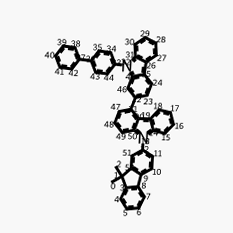 CC1(C)c2ccccc2-c2ccc(-n3c4ccccc4c4c(-c5ccc6c7ccccc7n(-c7ccc(-c8ccccc8)cc7)c6c5)cccc43)cc21